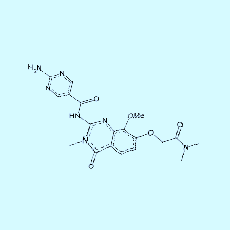 COc1c(OCC(=O)N(C)C)ccc2c(=O)n(C)c(NC(=O)c3cnc(N)nc3)nc12